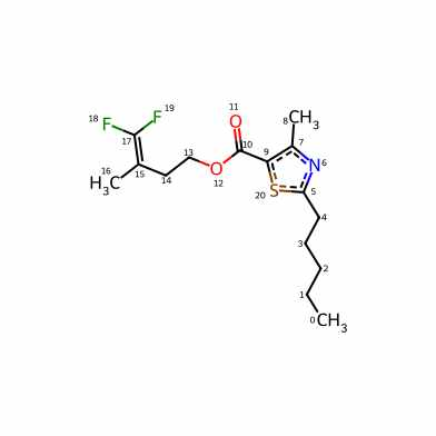 CCCCCc1nc(C)c(C(=O)OCCC(C)=C(F)F)s1